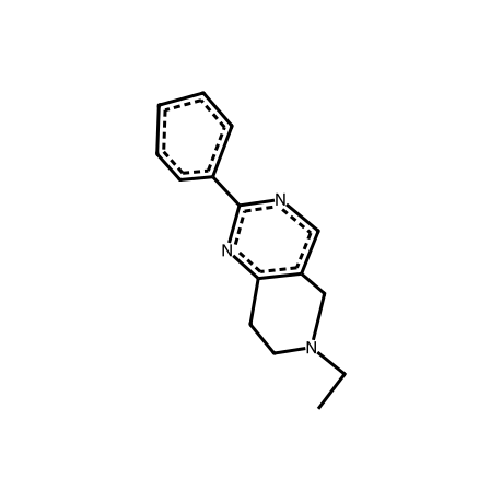 CCN1CCc2nc(-c3ccccc3)ncc2C1